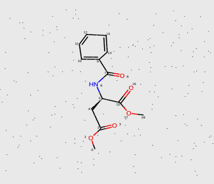 COC(=O)C[C@@H](NC(=O)c1ccccc1)C(=O)OC